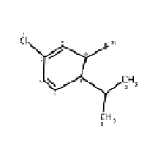 CC(C)C1C=CC(Cl)=CC1F